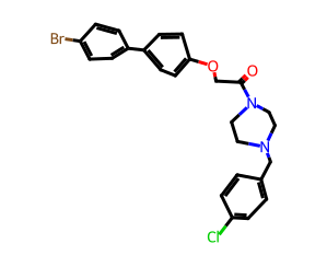 O=C(COc1ccc(-c2ccc(Br)cc2)cc1)N1CCN(Cc2ccc(Cl)cc2)CC1